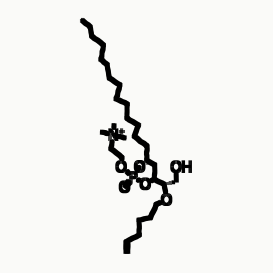 C=CCCCCO[C@@H](CO)C(CCCCCCCCCCCCCCCC)OP(=O)([O-])OCC[N+](C)(C)C